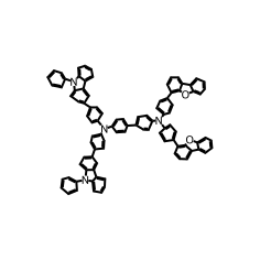 c1ccc(-n2c3ccccc3c3cc(-c4ccc(N(c5ccc(-c6ccc(N(c7ccc(-c8cccc9c8oc8ccccc89)cc7)c7ccc(-c8cccc9c8oc8ccccc89)cc7)cc6)cc5)c5ccc(-c6ccc7c(c6)c6ccccc6n7-c6ccccc6)cc5)cc4)ccc32)cc1